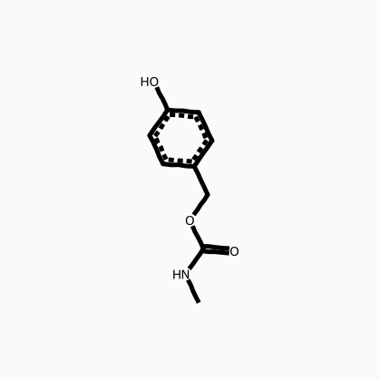 CNC(=O)OCc1ccc(O)cc1